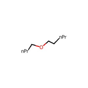 [CH2]CCCOCCCCC